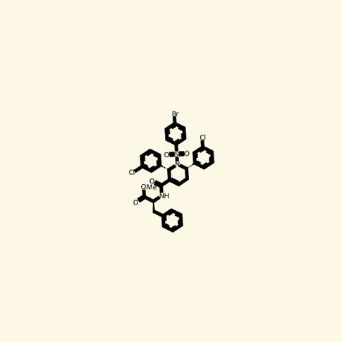 COC(=O)[C@H](Cc1ccccc1)NC(=O)C1=CC[C@@H](c2cccc(Cl)c2)N(S(=O)(=O)c2ccc(Br)cc2)[C@H]1c1cccc(Cl)c1